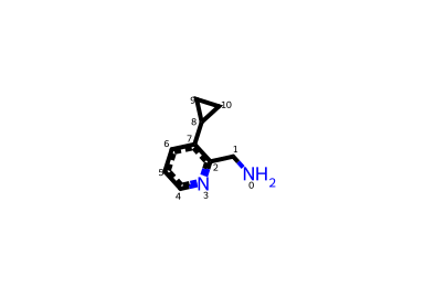 NCc1ncccc1C1CC1